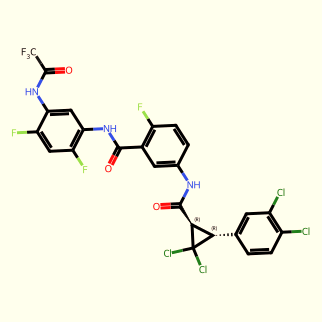 O=C(Nc1cc(NC(=O)C(F)(F)F)c(F)cc1F)c1cc(NC(=O)[C@H]2[C@H](c3ccc(Cl)c(Cl)c3)C2(Cl)Cl)ccc1F